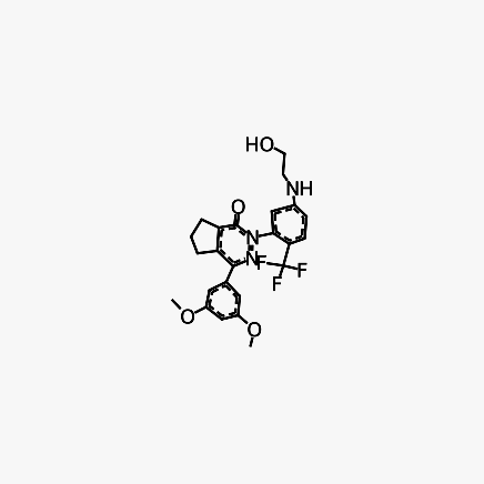 COc1cc(OC)cc(-c2nn(-c3cc(NCCO)ccc3C(F)(F)F)c(=O)c3c2CCC3)c1